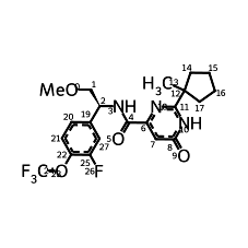 COC[C@@H](NC(=O)c1cc(=O)[nH]c(C2(C)CCCC2)n1)c1ccc(OC(F)(F)F)c(F)c1